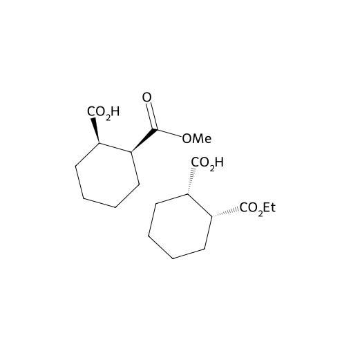 CCOC(=O)[C@@H]1CCCC[C@@H]1C(=O)O.COC(=O)[C@H]1CCCC[C@H]1C(=O)O